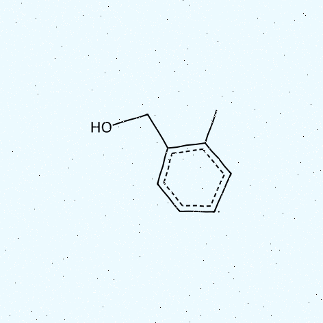 Cc1c[c]ccc1CO